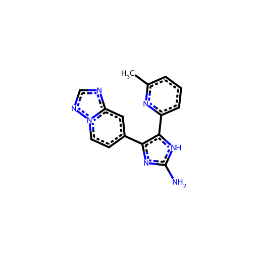 Cc1cccc(-c2[nH]c(N)nc2-c2ccn3ncnc3c2)n1